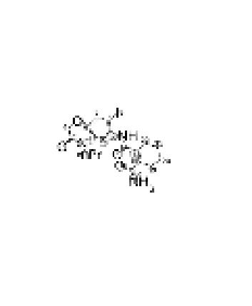 CCCN1C(=O)COc2cc(I)c(NC(=O)C3=C(C(N)=O)CCCC3)cc21